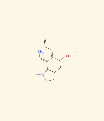 C=C/C=C1\C(=C/N)C2C(CCN2C)CC1O